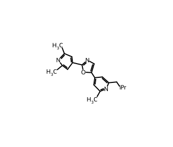 Cc1cc(-c2ncc(-c3cc(C)nc(CC(C)C)c3)o2)cc(C)n1